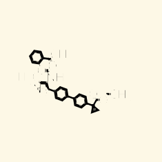 CCOC(=O)C1(c2ccc(-c3ccc(-c4onc(C)c4NC(=O)O[C@@H](C)c4ccccc4)cc3)cc2)CC1